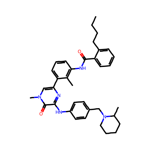 CCCCc1ccccc1C(=O)Nc1cccc(-c2cn(C)c(=O)c(Nc3ccc(CN4CCCCC4C)cc3)n2)c1C